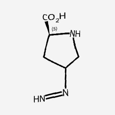 N=NC1CN[C@H](C(=O)O)C1